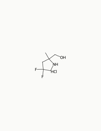 CC1(CO)CC(F)(F)CN1.Cl